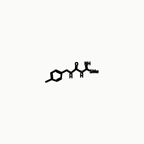 CSC(=N)NC(=O)NCc1ccc(C)cc1